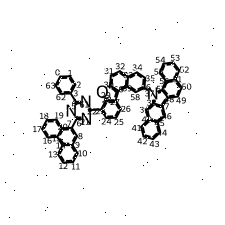 c1ccc(-c2nc(-c3cc4ccccc4c4ccccc34)nc(-c3cccc4c3oc3ccc5ccc(-n6c7cc8ccccc8cc7c7ccc8ccccc8c76)cc5c34)n2)cc1